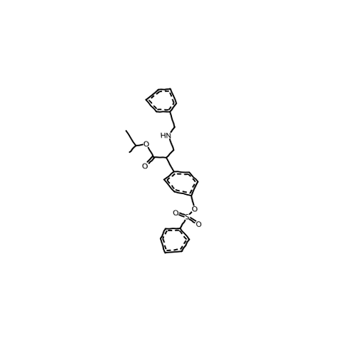 CC(C)OC(=O)C(CNCc1ccccc1)c1ccc(OS(=O)(=O)c2ccccc2)cc1